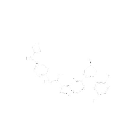 O=C(Nc1ccc(NC2COC2)cc1)c1cnn2ccc(N3C[C@@H](F)C[C@@H]3c3cc(F)ccc3F)nc12